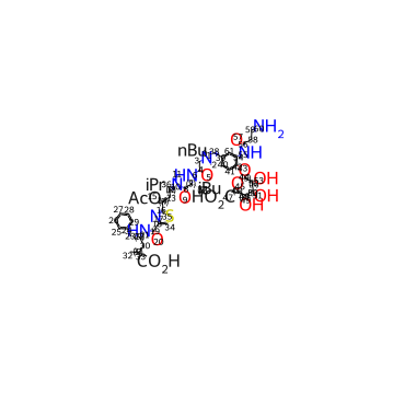 CCCC[N+](C)(CC(=O)N[C@H](C(=O)N(C)[C@H](C[C@@H](OC(C)=O)c1nc(C(=O)N[C@@H](Cc2ccccc2)C[C@H](C)C(=O)O)cs1)C(C)C)[C@@H](C)CC)Cc1ccc(O[C@@H]2O[C@H](C(=O)O)[C@@H](O)[C@H](O)[C@H]2O)c(NC(=O)CCN)c1